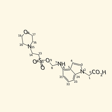 O=C(O)Cn1ccc2c(NCOS(=O)(=O)CCN3CCOCC3)cccc21